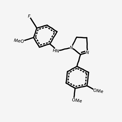 COc1cc(NN2CCN=C2c2ccc(OC)c(OC)c2)ccc1F